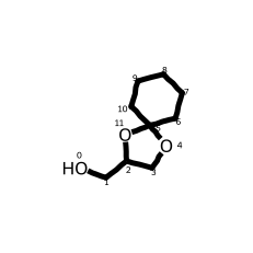 OCC1COC2(CCCCC2)O1